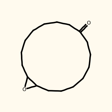 O=C1CCCCCCCC2OC2CCCCCCC1